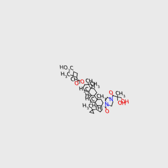 CC(CO)(CO)C(=O)N1CCN(C(=O)[C@]23CC[C@@H](C4(C)CC4)[C@@H]2[C@H]2CC[C@@H]4[C@@]5(C)CC[C@H](OC(=O)[C@H]6C[C@@H](C(=O)O)C6(C)C)C(C)(C)[C@@H]5CC[C@@]4(C)[C@]2(C)CC3)CC1